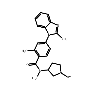 Cc1cc(-n2c(C)nc3ccccc32)ccc1C(=O)N(C)C1CCN(C(C)C)C1